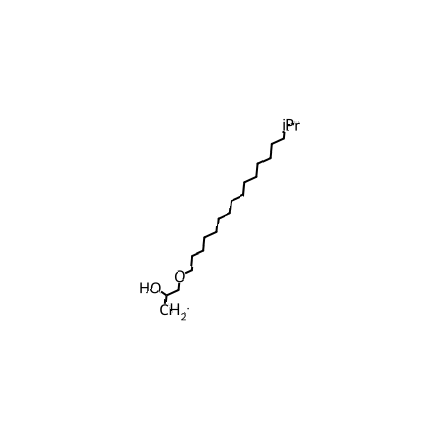 [CH2]C(O)COCCCCCCCCCCCCCCCC(C)C